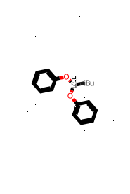 CCC(C)[SiH](Oc1ccccc1)Oc1ccccc1